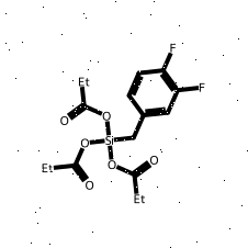 CCC(=O)O[Si](Cc1ccc(F)c(F)c1)(OC(=O)CC)OC(=O)CC